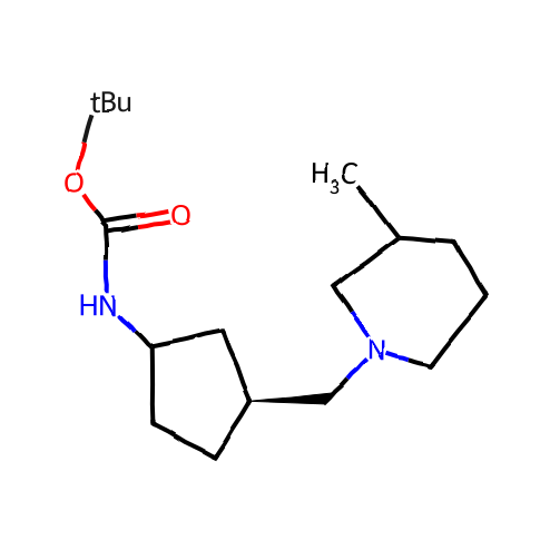 CC1CCCN(C[C@H]2CCC(NC(=O)OC(C)(C)C)C2)C1